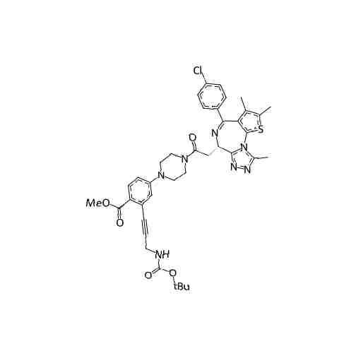 COC(=O)c1ccc(N2CCN(C(=O)C[C@@H]3N=C(c4ccc(Cl)cc4)c4c(sc(C)c4C)-n4c(C)nnc43)CC2)cc1C#CCNC(=O)OC(C)(C)C